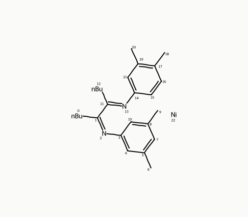 CCCCC(=Nc1cc(C)cc(C)c1)C(CCCC)=Nc1ccc(C)c(C)c1.[Ni]